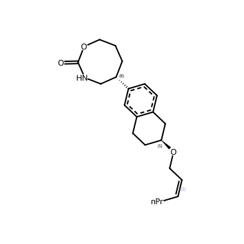 CCC/C=C\CO[C@H]1CCc2cc([C@H]3CCCOC(=O)NC3)ccc2C1